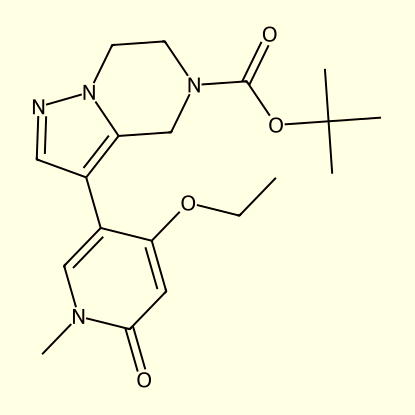 CCOc1cc(=O)n(C)cc1-c1cnn2c1CN(C(=O)OC(C)(C)C)CC2